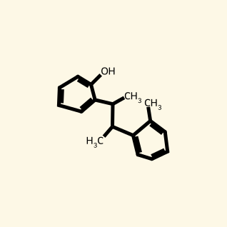 Cc1ccccc1C(C)C(C)c1ccccc1O